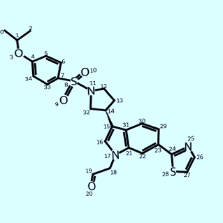 CC(C)Oc1ccc(S(=O)(=O)N2CC[C@@H](c3cn(CC=O)c4cc(-c5nccs5)ccc34)C2)cc1